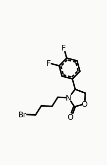 O=C1OCC(c2ccc(F)c(F)c2)N1CCCCBr